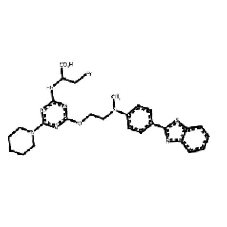 CC(C)CC(Nc1nc(OCCN(C)c2ccc(-c3nc4ccccc4s3)cc2)nc(N2CCCCC2)n1)C(=O)O